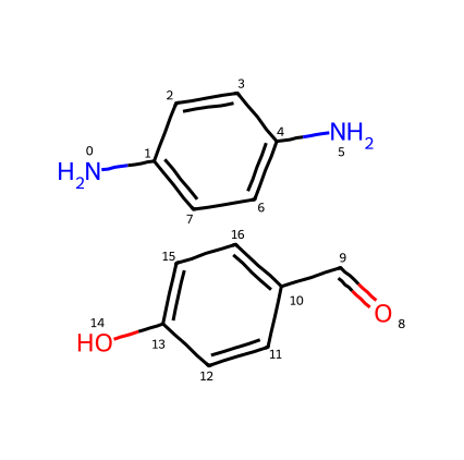 Nc1ccc(N)cc1.O=Cc1ccc(O)cc1